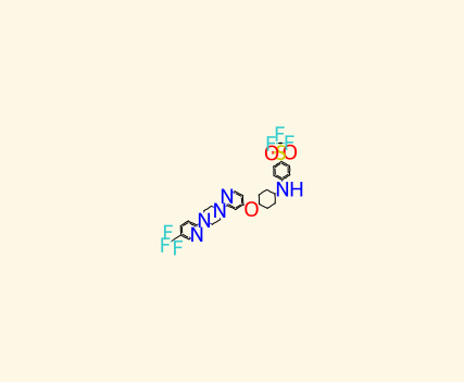 O=S(=O)(c1ccc(N[C@H]2CC[C@H](Oc3ccnc(N4CCN(c5ccc(C(F)(F)F)cn5)CC4)c3)CC2)cc1)C(F)(F)F